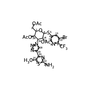 CC(=O)OCC1OC(Sc2cnc(C(F)(F)F)c(Br)c2)C(OC(C)=O)C(n2cc(-c3nc(N)sc3C)nn2)C1OC(C)=O